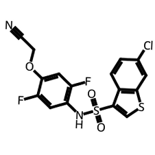 N#CCOc1cc(F)c(NS(=O)(=O)c2csc3cc(Cl)ccc23)cc1F